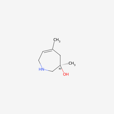 CC1=CCNC[C@](C)(O)C1